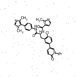 Cc1ncn(C)c1-c1ccc(NC(=O)C(Cc2cc(-c3ccc(=O)n(C(C)C)c3)ccc2Cl)NC(=O)c2ccnn2C)cc1